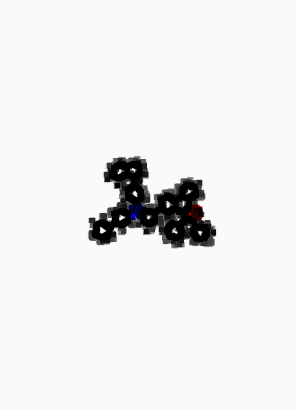 c1ccc(-c2ccc(N(c3ccc(-c4cccc5ccccc45)cc3)c3cccc(-c4ccc5c6ccccc6c6oc(-c7ccccc7)c(-c7ccccc7)c6c5c4)c3)cc2)cc1